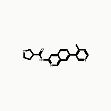 Cc1ccncc1-c1ccc2cc(NC(=O)C3CCOC3)ncc2c1